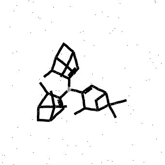 CC1C(B(C2=CC3CC(C2C)C3(C)C)C2=CC3CC(C2C)C3(C)C)=CC2CC1C2(C)C